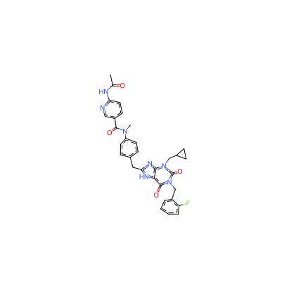 CC(=O)Nc1ccc(C(=O)N(C)c2ccc(Cc3nc4c([nH]3)c(=O)n(Cc3ccccc3F)c(=O)n4CC3CC3)cc2)cn1